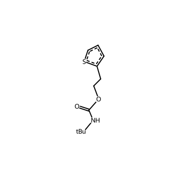 CC(C)(C)NC(=O)OCCc1cccs1